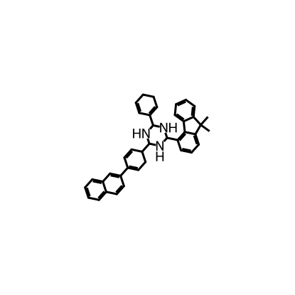 CC1(C)c2ccccc2-c2c(C3NC(C4=CCCC=C4)NC(C4C=CC(c5ccc6ccccc6c5)=CC4)N3)cccc21